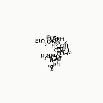 CCOC(=O)C(NP(N)(=O)OC[C@H]1O[C@@H](n2cnc3c(NC4CC4)nc(N)nc32)C(C)(O)C1O)C(C)C